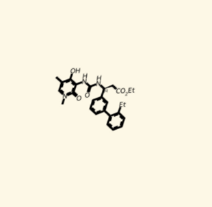 CCOC(=O)C[C@H](NC(=O)Nc1c(O)c(C)cn(C)c1=O)c1cccc(-c2ccccc2CC)c1